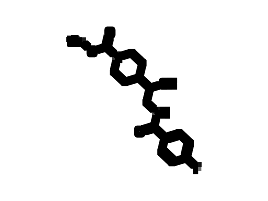 CC(C)(C)OC(=O)N1CCC(C(O)CNC(=O)c2ccc(F)cc2)CC1